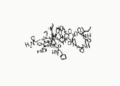 CC[C@@H](C)[C@@H](NC(=O)[C@@H](CCC(N)=O)NC(=O)[C@H](CO)NC(=O)[C@@H](NC(=O)[C@@H](Cc1ccccc1)NC)[C@@H](C)CC)C(=O)N[C@H](C(=O)N[C@@H](CO)C(=O)N[C@H]1C(=O)N[C@@H](C)C(=O)NCC(=O)N[C@@H]([C@@H](C)CC)C(=O)O[C@H]1C)[C@@H](C)CC